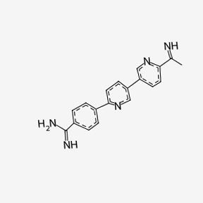 CC(=N)c1ccc(-c2ccc(-c3ccc(C(=N)N)cc3)nc2)cn1